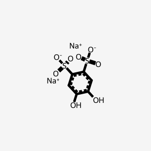 O=S(=O)([O-])c1cc(O)c(O)cc1S(=O)(=O)[O-].[Na+].[Na+]